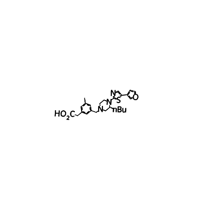 CCCC[C@H]1CN(Cc2cc(C)cc(CC(=O)O)c2)CCN1c1ncc(-c2ccoc2)s1